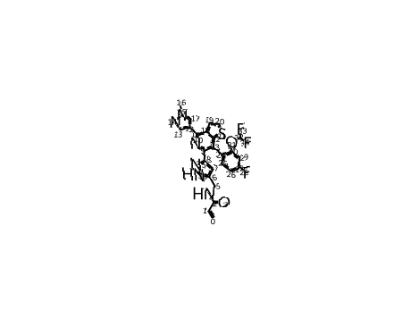 C=CC(=O)NCc1cc(-c2nc(-c3cnn(C)c3)c3ccsc3c2-c2ccc(F)cc2OC(F)F)n[nH]1